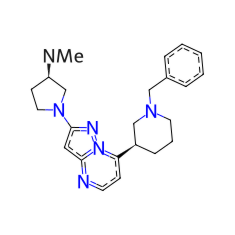 CN[C@@H]1CCN(c2cc3nccc([C@@H]4CCCN(Cc5ccccc5)C4)n3n2)C1